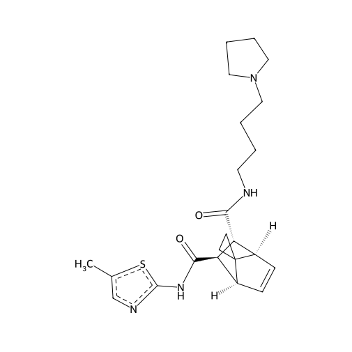 Cc1cnc(NC(=O)[C@H]2[C@H](C(=O)NCCCCN3CCCC3)[C@H]3C=C[C@@H]2C32CC2)s1